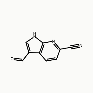 N#Cc1ccc2c(C=O)c[nH]c2n1